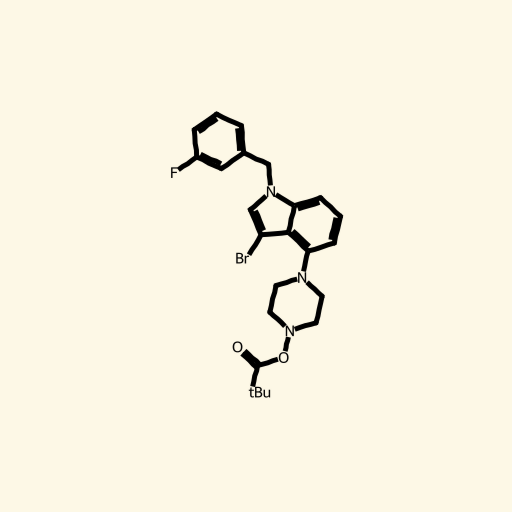 CC(C)(C)C(=O)ON1CCN(c2cccc3c2c(Br)cn3Cc2cccc(F)c2)CC1